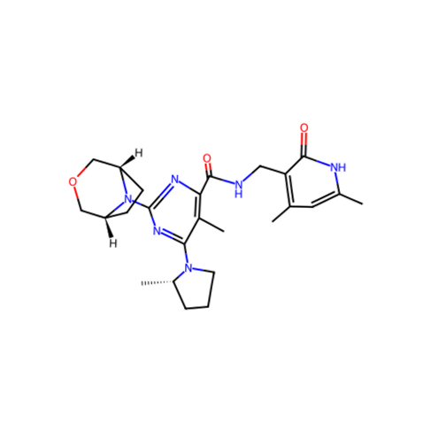 Cc1cc(C)c(CNC(=O)c2nc(N3[C@@H]4CC[C@H]3COC4)nc(N3CCC[C@@H]3C)c2C)c(=O)[nH]1